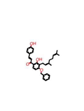 CC(C)=CCCC(C)=CCc1c(OCc2ccccc2)ccc(C(=O)C=Cc2ccc(O)cc2)c1O